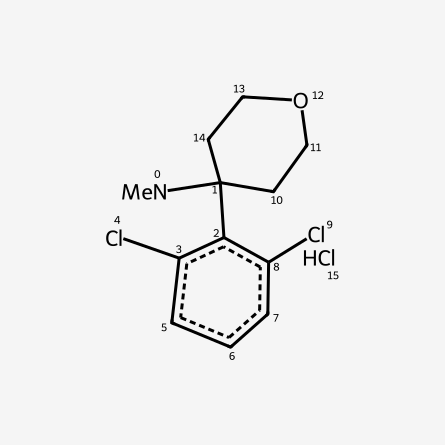 CNC1(c2c(Cl)cccc2Cl)CCOCC1.Cl